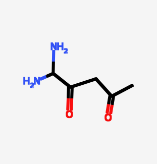 CC(=O)CC(=O)C(N)N